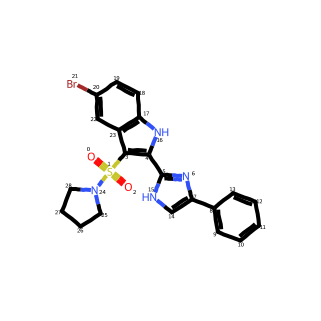 O=S(=O)(c1c(-c2nc(-c3ccccc3)c[nH]2)[nH]c2ccc(Br)cc12)N1CCCC1